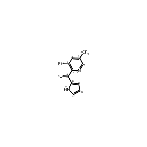 CCc1cc(C(F)(F)F)cnc1C(=O)c1ccc[nH]1